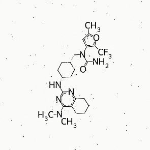 Cc1cc(N(C[C@H]2CC[C@@H](Nc3nc4c(c(N(C)C)n3)CCCC4)CC2)C(N)=O)c(C(F)(F)F)o1